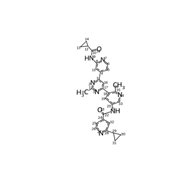 Cc1nc(-c2ccnc(NC(=O)C3CC3)c2)cc(-c2cc(NC(=O)c3ccnc(C4CC4)c3)cnc2C)n1